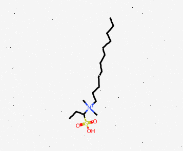 CCCCCCCCCCCC[N+](C)(C)C(CC)S(=O)(=O)O